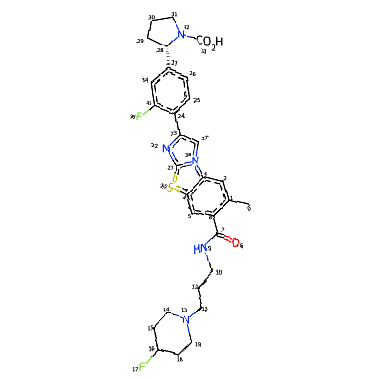 Cc1cc2c(cc1C(=O)NCCCN1CCC(F)CC1)sc1nc(-c3ccc([C@@H]4CCCN4C(=O)O)cc3F)cn12